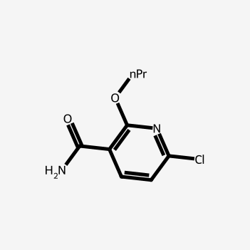 CCCOc1nc(Cl)ccc1C(N)=O